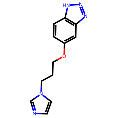 c1cn(CCCOc2ccc3[nH]nnc3c2)cn1